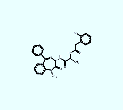 C[C@H](NC(=O)Cc1ccccc1Br)C(=O)N[C@H]1N=C(c2ccccc2)c2ccccc2N(C)C1=O